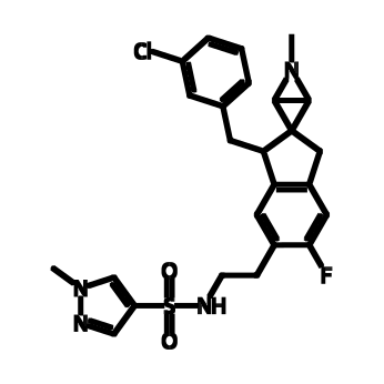 CN1C2C1C21Cc2cc(F)c(CCNS(=O)(=O)c3cnn(C)c3)cc2C1Cc1cccc(Cl)c1